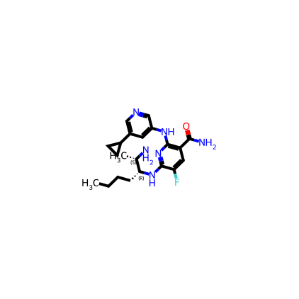 CCCC[C@@H](Nc1nc(Nc2cncc(C3CC3)c2)c(C(N)=O)cc1F)[C@H](C)N